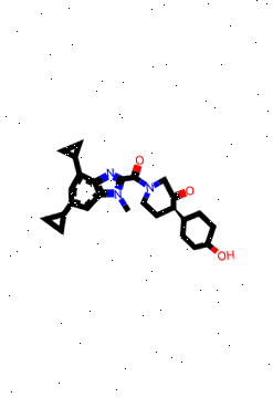 Cn1c(C(=O)N2CC[C@H](C3CCC(O)CC3)C(=O)C2)nc2c(C3CC3)cc(C3CC3)cc21